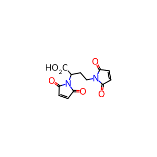 O=C(O)C(CCN1C(=O)C=CC1=O)N1C(=O)C=CC1=O